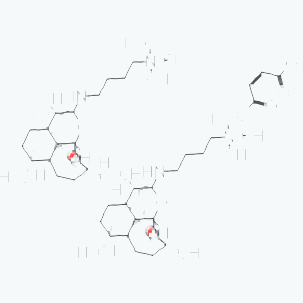 C[C@@H]1CC[C@H]2[C@@H](C)C(NCCCC[N+](C)(C)C)O[C@@H]3O[C@]4(C)CC[C@@H]1[C@]32OO4.C[C@@H]1CC[C@H]2[C@@H](C)C(NCCCC[N+](C)(C)C)O[C@@H]3O[C@]4(C)CC[C@@H]1[C@]32OO4.O=C([O-])/C=C\C(=O)[O-]